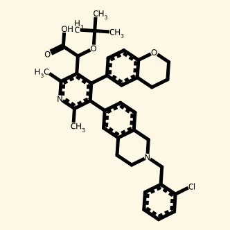 Cc1nc(C)c(C(OC(C)(C)C)C(=O)O)c(-c2ccc3c(c2)CCCO3)c1-c1ccc2c(c1)CCN(Cc1ccccc1Cl)C2